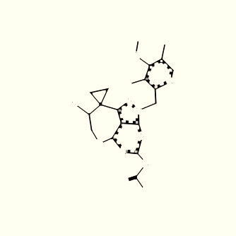 COc1c(C)cnc(Cn2nc3c4c(nc(NC(=O)O)nc42)SCC(N)C32CC2)c1C